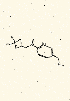 CN(CC1CC(F)(F)C1)c1ccc(CN)cn1